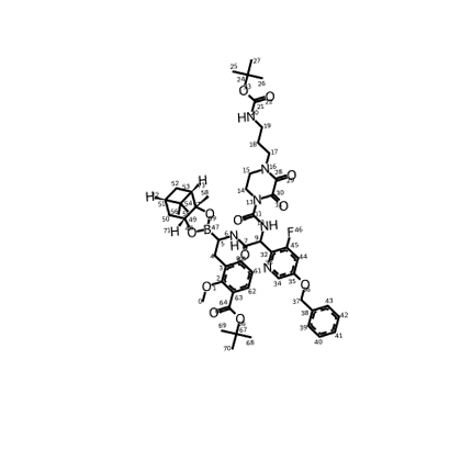 COc1c(CC(NC(=O)C(NC(=O)N2CCN(CCCNC(=O)OC(C)(C)C)C(=O)C2=O)c2ncc(OCc3ccccc3)cc2F)B2O[C@@H]3C[C@@H]4C[C@@H](C4(C)C)[C@]3(C)O2)cccc1C(=O)OC(C)(C)C